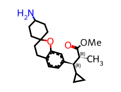 COC(=O)[C@H](C)[C@H](c1ccc2c(c1)OC1(CC2)CCC(N)CC1)C1CC1